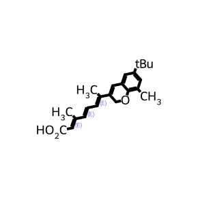 CC(/C=C/C=C(\C)C1=Cc2cc(C(C)(C)C)cc(C)c2OC1)=C\C(=O)O